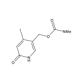 CNC(=O)OCc1c[nH]c(=O)cc1I